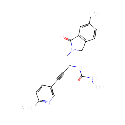 COc1ccc2c(c1)C(=O)N(C[C@@H](C#Cc1ccc(NC(C)=O)nc1)NC(=O)NC=O)C2